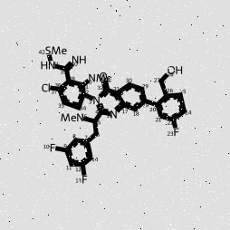 CNc1c(-n2c(C(Cc3cc(F)cc(F)c3)NC)nc3cc(-c4cc(F)ccc4CO)ccc3c2=O)ccc(Cl)c1C(=N)NSC